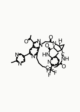 CC(=O)c1nn2c3c(nc(-c4cnc(C)nc4)cc13)CCCCCCC(=O)NC[C@@]13C[C@@H](C(=O)Nc4nc(C(F)(F)F)ccc4C)N(C(=O)C2)[C@@H]1C3